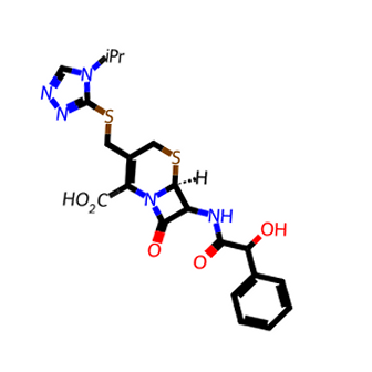 CC(C)n1cnnc1SCC1=C(C(=O)O)N2C(=O)C(NC(=O)C(O)c3ccccc3)[C@@H]2SC1